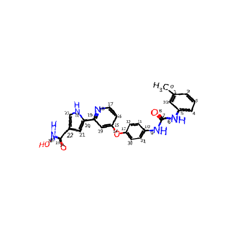 Cc1cccc(NC(=O)Nc2ccc(Oc3ccnc(-c4cc(C(=O)NO)c[nH]4)c3)cc2)c1